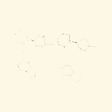 Cl.Fc1ccc([C@@H]2CCNC[C@H]2COc2ccc3c(c2)OCO3)cc1.Fc1ccc([C@@H]2CCNC[C@H]2COc2ccc3c(c2)OCO3)cc1